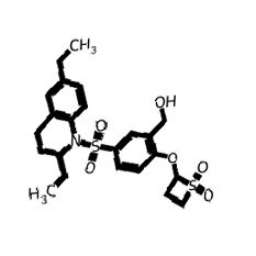 CCc1ccc2c(c1)CCC(CC)N2S(=O)(=O)c1ccc(OC2CCS2(=O)=O)c(CO)c1